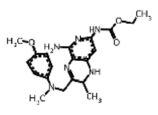 CCOC(=O)Nc1cc2c(c(N)n1)N=C(CN(C)c1ccc(OC)cc1)C(C)N2